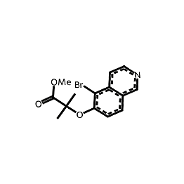 COC(=O)C(C)(C)Oc1ccc2cnccc2c1Br